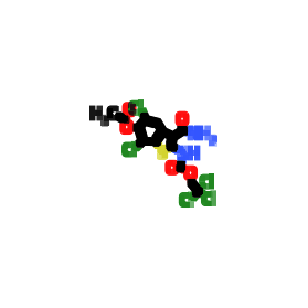 CC(=O)Oc1c(Cl)cc2c(C(N)=O)c(NC(=O)OCC(Cl)(Cl)Cl)sc2c1Cl